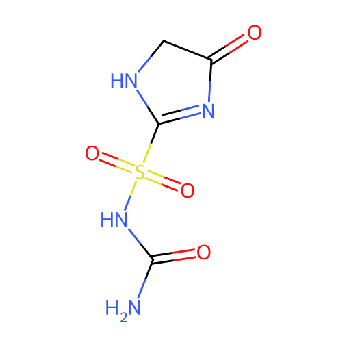 NC(=O)NS(=O)(=O)C1=NC(=O)CN1